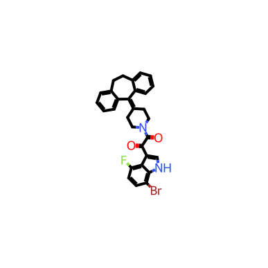 O=C(C(=O)N1CCC(=C2c3ccccc3CCc3ccccc32)CC1)c1c[nH]c2c(Br)ccc(F)c12